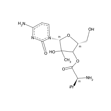 CC(C)[C@H](N)C(=O)OC1[C@@H](CO)O[C@@H](n2ccc(N)nc2=O)C1(C)O